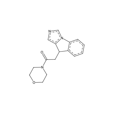 O=C(CC1c2ccccc2-n2cncc21)N1CCOCC1